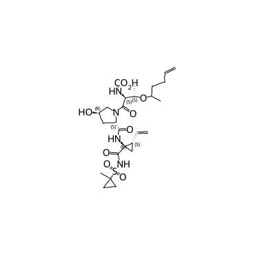 C=CCCC(C)O[C@@H](C)[C@H](NC(=O)O)C(=O)N1C[C@H](O)C[C@H]1C(=O)N[C@]1(C(=O)NS(=O)(=O)C2(C)CC2)C[C@H]1C=C